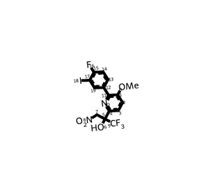 COc1ccc(C(O)(C[N+](=O)[O-])C(F)(F)F)nc1-c1ccc(F)c(I)c1